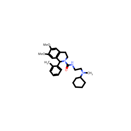 COc1cc2c(cc1OC)C(c1ccccc1C)N(C(=O)NCCN(C)C1CCCCC1)CC2